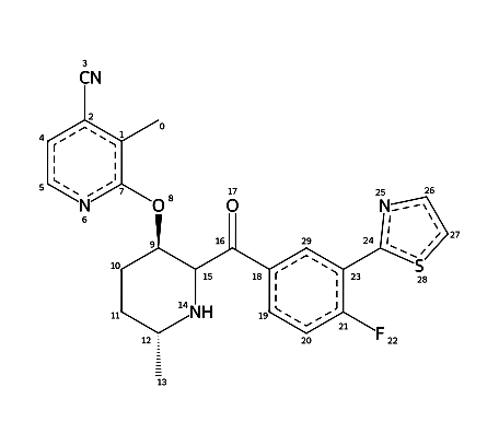 Cc1c(C#N)ccnc1O[C@@H]1CC[C@@H](C)NC1C(=O)c1ccc(F)c(-c2nccs2)c1